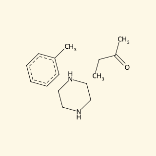 C1CNCCN1.CCC(C)=O.Cc1ccccc1